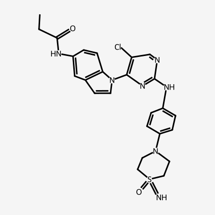 CCC(=O)Nc1ccc2c(ccn2-c2nc(Nc3ccc(N4CCS(=N)(=O)CC4)cc3)ncc2Cl)c1